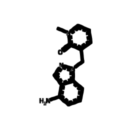 Cn1cccc(Cn2ncc3c(N)cccc32)c1=O